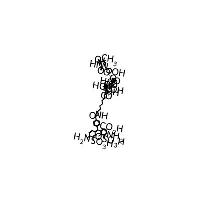 Cc1cn([C@H]2CC(O)[C@@H](COP(=O)(O)OP(=O)(O)OP(=O)(O)CP(=O)(O)OCCCCCCNC(=O)c3ccc(C4=C5C=CC(N)C(S(=O)(=O)O)=C5Oc5c4ccc(N)c5S(=O)(=O)O)c(C(=O)O)c3)O2)c(=O)[nH]c1=O